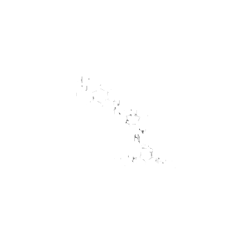 CCN(CC)c1ccc(N=Nc2nc(C)c(N=Nc3sc([N+](=O)[O-])cc3[N+](=O)[O-])s2)cc1